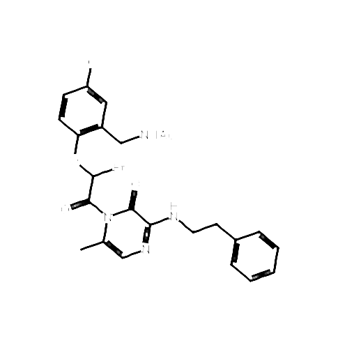 CCC(Oc1ccc(Cl)cc1CNC(C)=O)C(=O)n1c(C)cnc(NCCc2ccccc2)c1=O